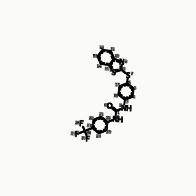 O=C(Nc1ccc(Sc2nc3ccccc3s2)cc1)Nc1ccc(C(F)(F)F)cc1